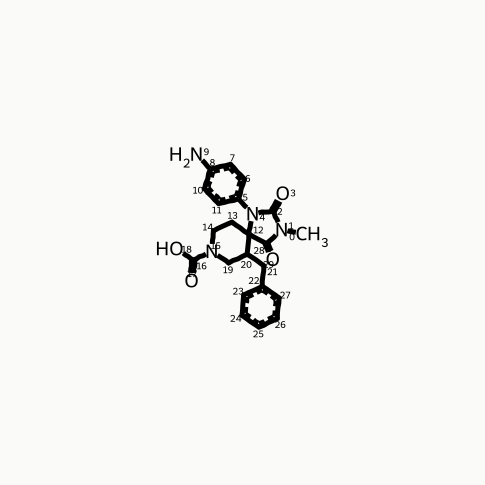 CN1C(=O)N(c2ccc(N)cc2)C2(CCN(C(=O)O)CC2Cc2ccccc2)C1=O